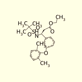 CCOC(=O)C[C@H](NS(=O)(=O)C(C)(C)C)c1cccc(Oc2c(C)cccc2C)c1